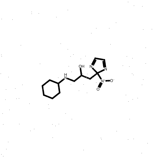 O=[N+]([O-])C1(CC(O)CNC2CCCCC2)N=CC=N1